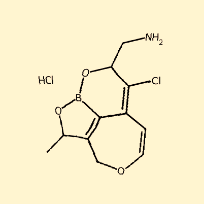 CC1OB2OC(CN)C(Cl)=C3C=COCC1=C23.Cl